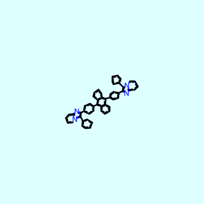 c1ccc(-c2c(-c3ccc(-c4c5ccccc5c(-c5ccc(-c6nc7ccccn7c6-c6ccccc6)cc5)c5ccccc45)cc3)nc3ccccn23)cc1